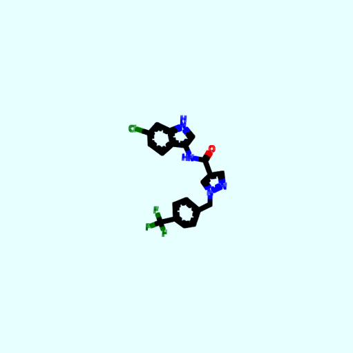 O=C(Nc1c[nH]c2cc(Cl)ccc12)c1cnn(Cc2ccc(C(F)(F)F)cc2)c1